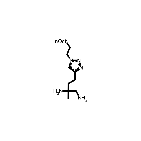 CCCCCCCCCCn1cc(CCC(C)(N)CN)nn1